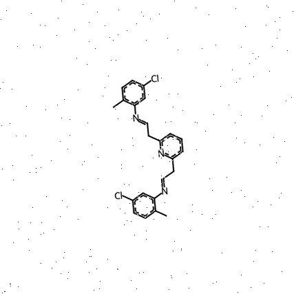 Cc1ccc(Cl)cc1N=CCc1cccc(CC=Nc2cc(Cl)ccc2C)n1